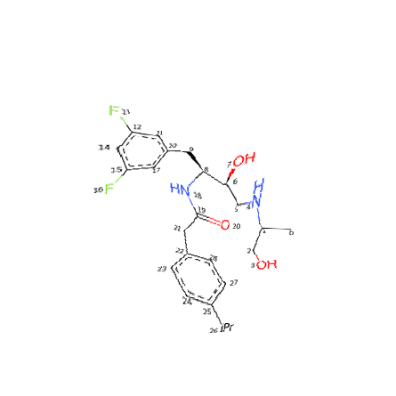 CC(CO)NC[C@H](O)[C@H](Cc1cc(F)cc(F)c1)NC(=O)Cc1ccc(C(C)C)cc1